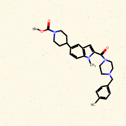 Cn1c(C(=O)N2CCN(Cc3ccc(C#N)cc3)CC2)cc2cc(C3CCN(C(=O)OC(C)(C)C)CC3)ccc21